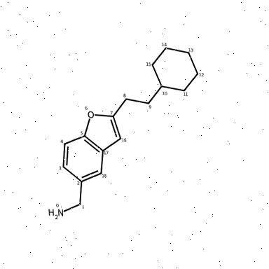 NCc1ccc2oc(CCC3CCCCC3)cc2c1